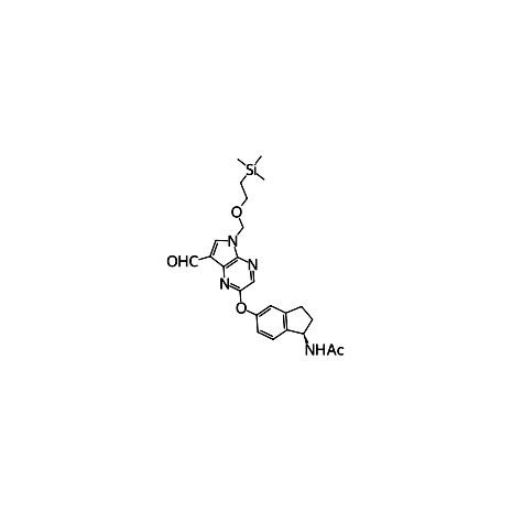 CC(=O)N[C@@H]1CCc2cc(Oc3cnc4c(n3)c(C=O)cn4COCC[Si](C)(C)C)ccc21